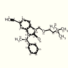 C#Cc1ncc2c(n1)n([C@H](C)c1ccccc1)c(=O)n2COCC[Si](C)(C)C